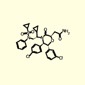 NC(=O)C[C@H]1O[C@H](c2cccc(Cl)c2)[C@@H](c2ccc(Cl)cc2)N([C@H](CN(c2ccccc2)S(=O)(=O)C2CC2)C2CC2)C1=O